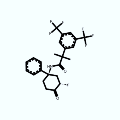 CC(C)(C(=O)N[C@]1(c2ccccc2)CCC(=O)[C@@H](F)C1)c1cc(C(F)(F)F)cc(C(F)(F)F)c1